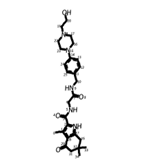 Cc1c(C(=O)NCC(=O)NCc2ccc(N3CCN(CCO)CC3)cc2)[nH]c2c1C(=O)CC(C)(C)C2